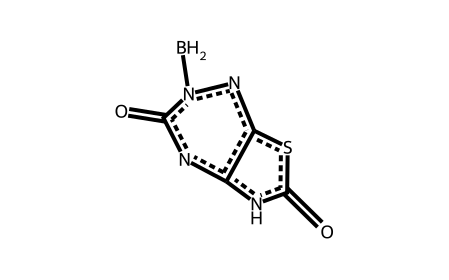 Bn1nc2sc(=O)[nH]c2nc1=O